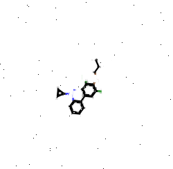 CN(c1ccccc1-c1cc(F)c(SCCCC(=O)O)c(F)c1)C1CC1